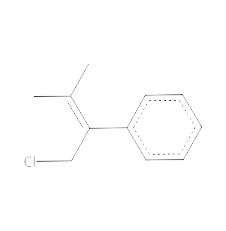 CC(C)=C(CCl)c1ccccc1